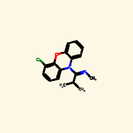 CN=C(C(C)C)N1c2ccccc2Oc2c(Cl)cccc21